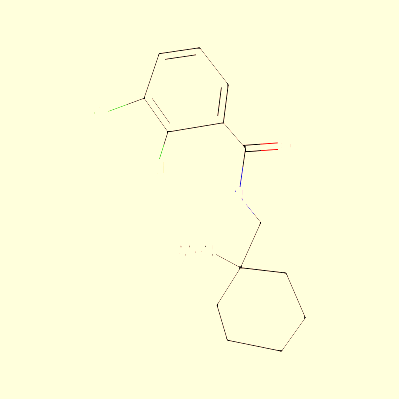 CNC1(CNC(=O)c2cccc(Cl)c2Cl)CCCCC1